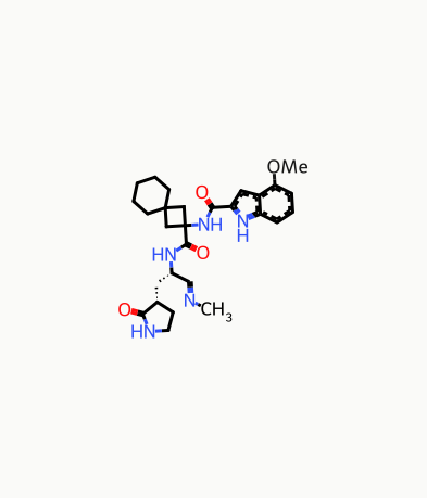 CN=C[C@H](C[C@@H]1CCNC1=O)NC(=O)C1(NC(=O)c2cc3c(OC)cccc3[nH]2)CC2(CCCCC2)C1